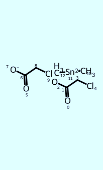 O=C([O-])CCl.O=C([O-])CCl.[CH3][Sn+2][CH3]